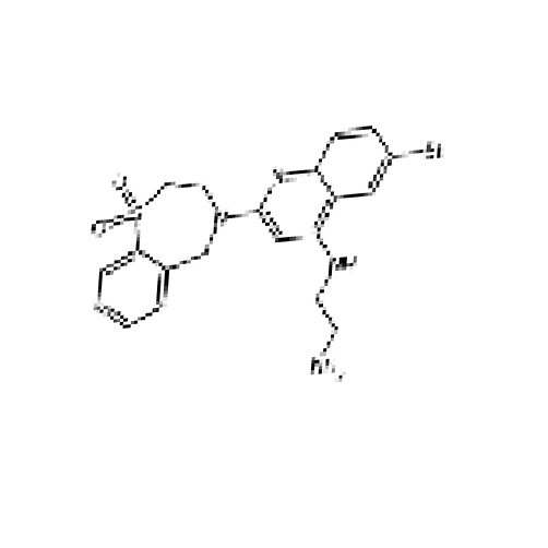 CCc1ccc2nc(N3CCS(=O)(=O)c4ccccc4C3)cc(NCCN)c2c1